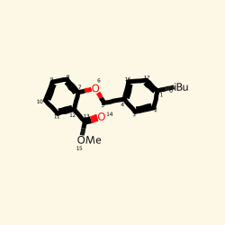 CCC(C)c1ccc(COc2ccccc2C(=O)OC)cc1